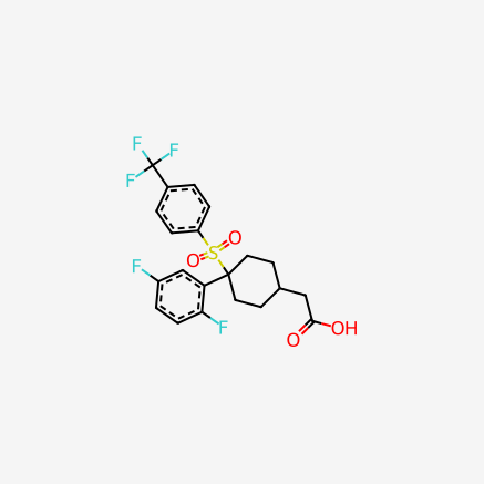 O=C(O)CC1CCC(c2cc(F)ccc2F)(S(=O)(=O)c2ccc(C(F)(F)F)cc2)CC1